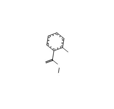 O=C(OBr)c1ccccc1Cl